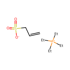 C=CCS(=O)(=O)[O-].CC[P+](CC)(CC)CC